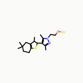 Cc1nn(CCOS)c(C)c1C1SC2=C(CC(C)(C)CC2)C1C